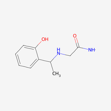 CC(NCC([NH])=O)c1ccccc1O